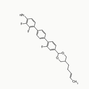 C/C=C/CCC1COC(c2ccc(-c3ccc(-c4ccc(CCC)c(F)c4F)cc3)c(F)c2)OC1